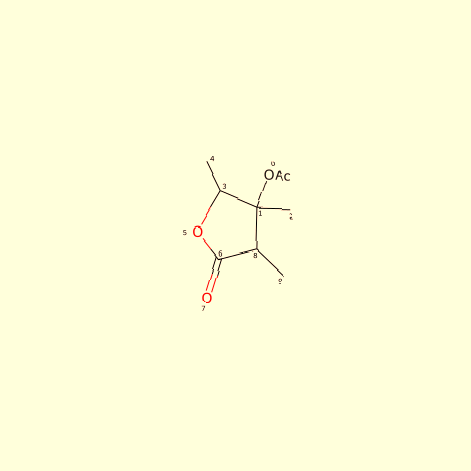 CC(=O)OC1(C)C(C)OC(=O)C1C